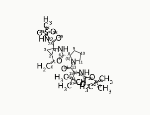 C=CC1CC1(NC(=O)[C@@H]1CCCN1C(=O)[C@@H](NC(=O)OC(C)(C)C)C(C)(C)C)C(=O)NS(C)(=O)=O